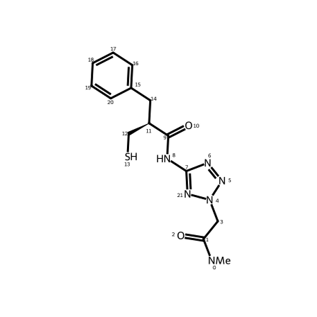 CNC(=O)Cn1nnc(NC(=O)[C@@H](CS)Cc2ccccc2)n1